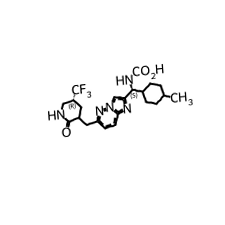 CC1CCC([C@H](NC(=O)O)c2cn3nc(CC4C[C@@H](C(F)(F)F)CNC4=O)ccc3n2)CC1